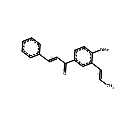 C/C=C/c1cc(C(=O)/C=C/c2ccccc2)ccc1OC